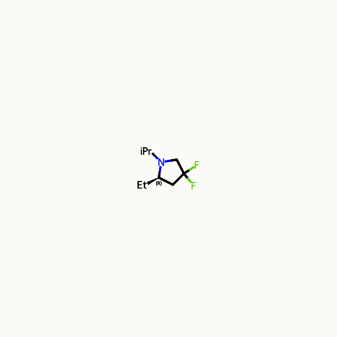 CC[C@@H]1CC(F)(F)CN1C(C)C